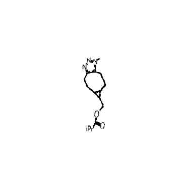 CC(C)C(=O)OCC1C2CCc3nnn(C)c3CCC21